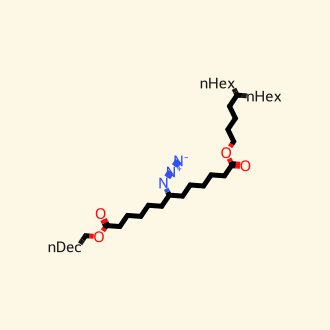 CCCCCCCCCCCOC(=O)CCCCCC(CCCCCC(=O)OCCCCC(CCCCCC)CCCCCC)N=[N+]=[N-]